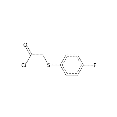 O=C(Cl)CSc1ccc(F)cc1